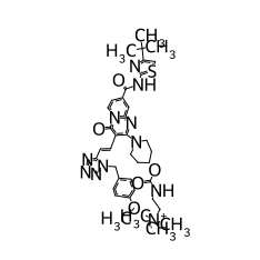 COc1ccc(Cn2nnnc2C=Cc2c(N3CCC(OC(=O)NCC[N+](C)(C)C)CC3)nc3cc(C(=O)Nc4nc(C(C)(C)C)cs4)ccn3c2=O)cc1